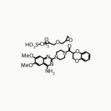 C(OCC1CO1)C1CO1.COc1cc2nc(N3CCN(C(=O)C4COc5ccccc5O4)CC3)nc(N)c2cc1OC.CS(=O)(=O)O